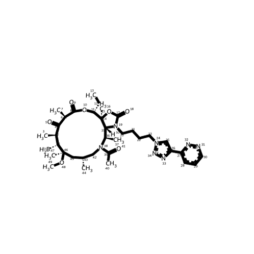 B[C@@H]1[C@@H](C)C(=O)[C@@H](C)C(=O)O[C@H](CC)[C@@]2(C)OC(=O)N(CCCCn3cc(-c4cccnn4)nn3)[C@@H]2[C@@H](C)N(C(C)=O)C[C@H](C)C[C@@]1(C)OC